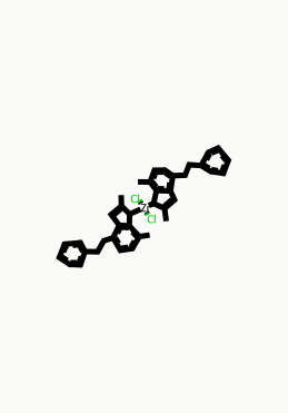 CC1=Cc2c(CCc3ccccc3)ccc(C)c2[CH]1[Zr]([Cl])([Cl])[CH]1C(C)=Cc2c(CCc3ccccc3)ccc(C)c21